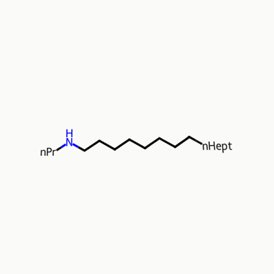 [CH2]CCNCCCCCCCCCCCCCCC